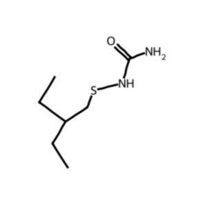 CCC(CC)CSNC(N)=O